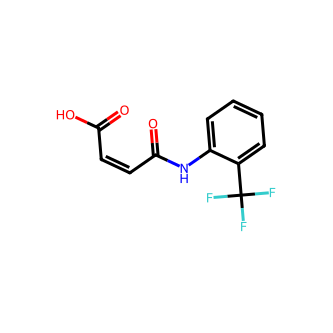 O=C(O)/C=C\C(=O)Nc1ccccc1C(F)(F)F